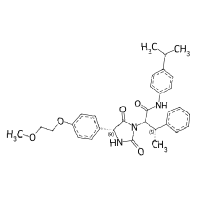 COCCOc1ccc([C@H]2NC(=O)N(C(C(=O)Nc3ccc(C(C)C)cc3)[C@@H](C)c3ccccc3)C2=O)cc1